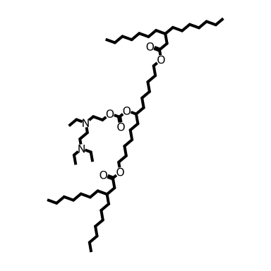 CCCCCCCC(CCCCCCC)CC(=O)OCCCCCCC(CCCCCCOC(=O)CC(CCCCCCC)CCCCCCC)OC(=O)OCCN(CC)CCN(CC)CC